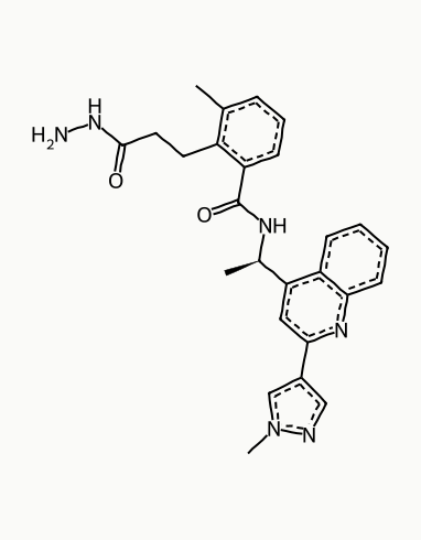 Cc1cccc(C(=O)N[C@H](C)c2cc(-c3cnn(C)c3)nc3ccccc23)c1CCC(=O)NN